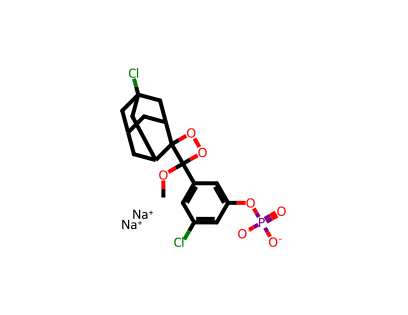 COC1(c2cc(Cl)cc(OP(=O)([O-])[O-])c2)OOC12C1CC3CC2CC(Cl)(C3)C1.[Na+].[Na+]